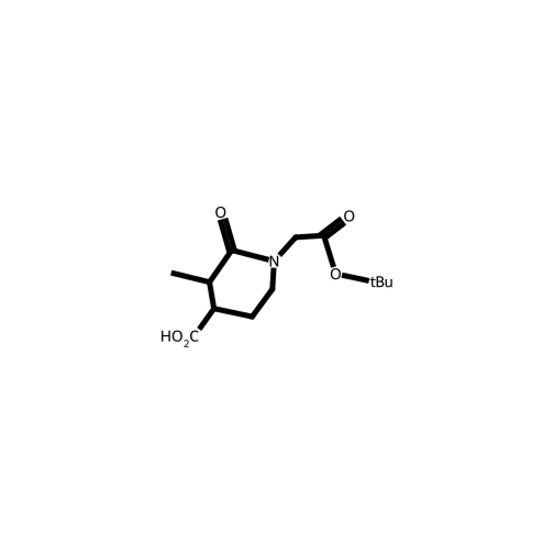 CC1C(=O)N(CC(=O)OC(C)(C)C)CCC1C(=O)O